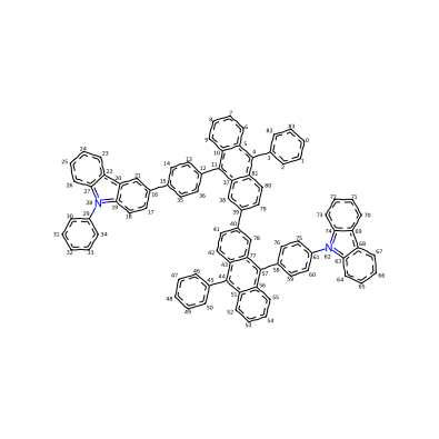 c1ccc(-c2c3ccccc3c(-c3ccc(-c4ccc5c(c4)c4ccccc4n5-c4ccccc4)cc3)c3cc(-c4ccc5c(-c6ccccc6)c6ccccc6c(-c6ccc(-n7c8ccccc8c8ccccc87)cc6)c5c4)ccc23)cc1